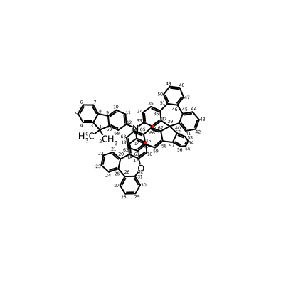 CC1(C)c2ccccc2-c2ccc(N(c3ccc4c(c3)-c3ccccc3-c3ccccc3O4)c3ccc4c(c3)C3(c5ccccc5-c5ccccc5-4)c4ccccc4-c4cc5ccccc5cc43)cc21